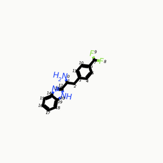 NC(Cc1ccc(C(F)F)cc1)c1nc2ccccc2[nH]1